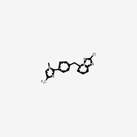 Cn1cc(C(F)(F)F)nc1-c1ccc(Cc2cccc3nc(Cl)nn23)cc1